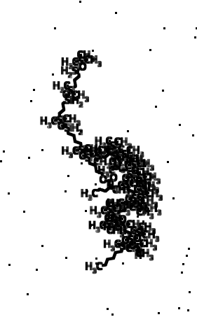 C=C(CCC)C(=O)OCCCC[SiH](O[Si](C)(C)CCCC[SiH2]O[Si](C)(C)CCC[SiH2]O[Si](C)(C)CCC[SiH2]O[Si](C)(C)C)O[Si](C)(C)CC[Si](O[Si](C)(C)C)(O[Si](C)(C)C)O[Si](C)(C)CC[Si](O[Si](C)(C)C)(O[Si](C)(C)C)O[Si](C)(C)CC[Si](O[Si](C)(C)C)(O[Si](C)(C)C)O[Si](C)(C)CC[Si](O[Si](C)(C)C)(O[Si](C)(C)C)O[Si](C)(C)CC[Si](O[SiH](C)C)(O[Si](C)(C)C)O[Si](C)(C)CCCCCC